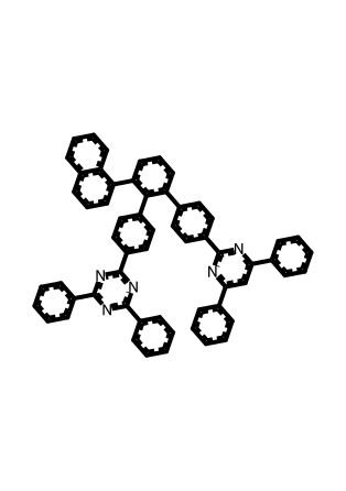 c1ccc(-c2cc(-c3ccccc3)nc(-c3ccc(-c4cccc(-c5cccc6ccccc56)c4-c4ccc(-c5nc(-c6ccccc6)nc(-c6ccccc6)n5)cc4)cc3)n2)cc1